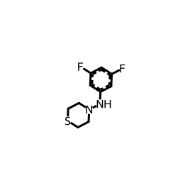 Fc1cc(F)cc(NN2CCSCC2)c1